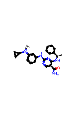 CC(=O)N(c1cccc(Nc2ncc(C(N)=O)c(N[C@H](C)c3ccccc3)n2)c1)C1CC1